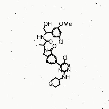 COc1cc(Cl)cc(C(CO)NC(=O)C(C)N2Cc3ccc(-c4nc(NC5CCOCC5)ncc4Cl)cc3C2=O)c1